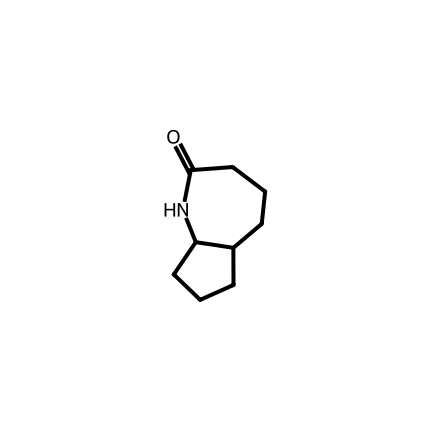 O=C1CCCC2CCCC2N1